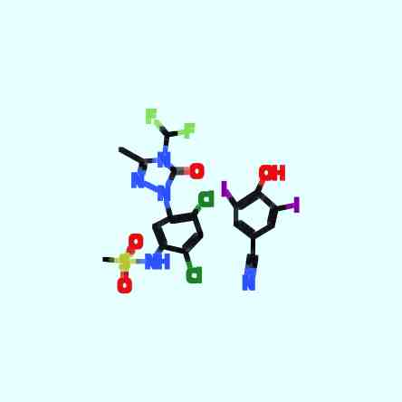 Cc1nn(-c2cc(NS(C)(=O)=O)c(Cl)cc2Cl)c(=O)n1C(F)F.N#Cc1cc(I)c(O)c(I)c1